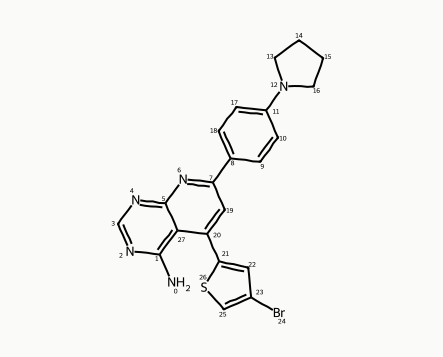 Nc1ncnc2nc(-c3ccc(N4CCCC4)cc3)cc(-c3cc(Br)cs3)c12